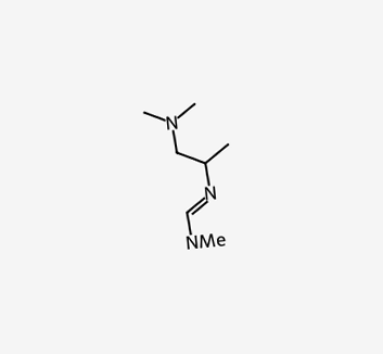 CN/C=N/C(C)CN(C)C